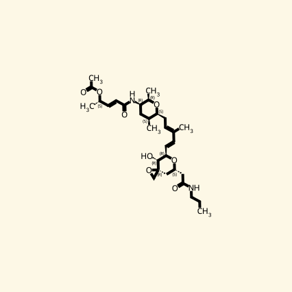 CCCNC(=O)C[C@@H]1C[C@@]2(CO2)[C@H](O)[C@@H](C=CC(C)=CC[C@@H]2O[C@H](C)[C@H](NC(=O)C=C[C@H](C)OC(C)=O)C[C@@H]2C)O1